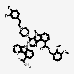 COc1cccc(CNC(=O)c2cccc3c2c2ncnc(N4CCN(CCc5ccc(F)c(F)c5)CC4)c2n3C)c1OC.NC(=O)c1cccc2[nH]c3cncnc3c12